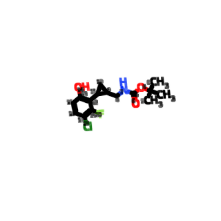 CC(C)(C)OC(=O)NCC1CC1c1c(O)ccc(Cl)c1F